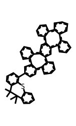 CC1(C)c2ccccc2Sc2c(-c3ccc4c5ccccc5c5cc6c7ccccc7c7ccccc7c7ccccc7c6cc5c5ccccc5c4c3)cccc2C1(C)C